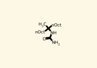 CCCCCCCCC(C)(CCCCCCCC)NC(N)=O